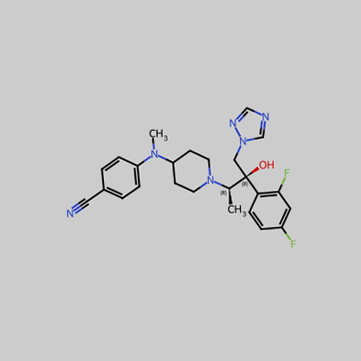 C[C@@H](N1CCC(N(C)c2ccc(C#N)cc2)CC1)[C@](O)(Cn1cncn1)c1ccc(F)cc1F